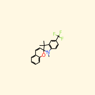 CN1c2ccc(C(F)(F)F)cc2C(C)(C)C12C=Cc1ccccc1O2